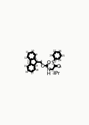 CC(C)[C@H](NC(=O)OCC1c2ccccc2-c2ccccc21)C(=O)Sc1ccccc1